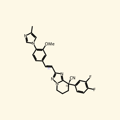 COc1cc(/C=C/c2nc3n(n2)CCC[C@@]3(C#N)c2ccc(F)c(F)c2)ccc1-n1cnc(C)c1